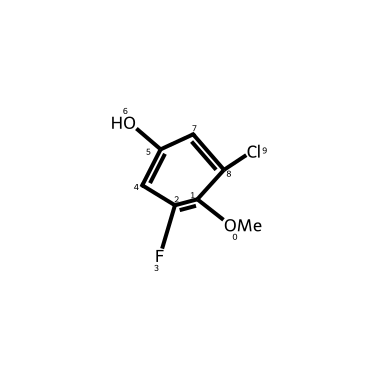 COc1c(F)cc(O)cc1Cl